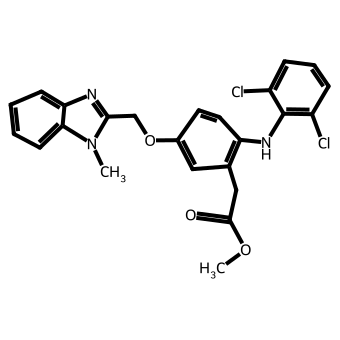 COC(=O)Cc1cc(OCc2nc3ccccc3n2C)ccc1Nc1c(Cl)cccc1Cl